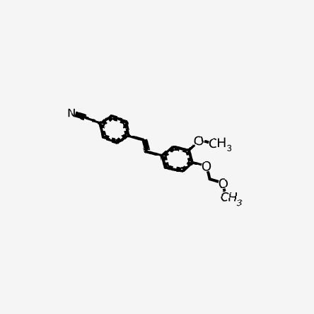 COCOc1ccc(/C=C/c2ccc(C#N)cc2)cc1OC